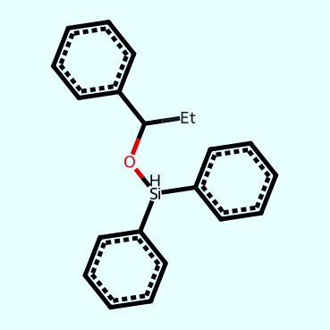 CCC(O[SiH](c1ccccc1)c1ccccc1)c1ccccc1